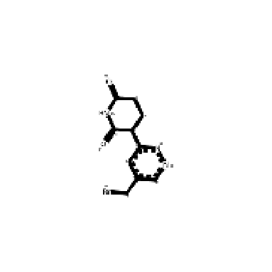 O=C1CCC(c2cc(CBr)cnn2)C(=O)N1